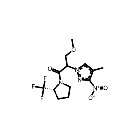 COCC(C(=O)N1CCC[C@@H]1C(F)(F)F)n1cc(C)c([N+](=O)[O-])n1